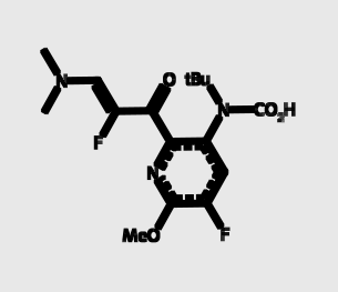 COc1nc(C(=O)C(F)=CN(C)C)c(N(C(=O)O)C(C)(C)C)cc1F